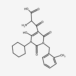 Cc1ccccc1Cn1c(=O)c(C(=O)C(N)C(=O)O)c(O)n(C2CCCCC2)c1=O